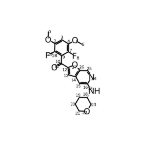 COc1cc(OC)c(F)c(C(=O)c2cc3cc(N[C@H]4CCCOC4)ncc3o2)c1F